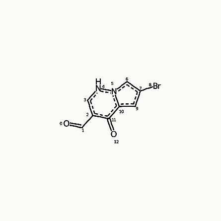 O=Cc1c[nH]n2cc(Br)cc2c1=O